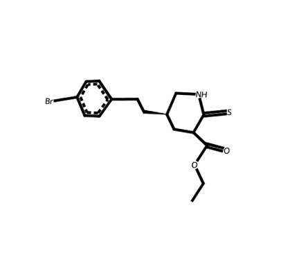 CCOC(=O)C1C[C@@H](CCc2ccc(Br)cc2)CNC1=S